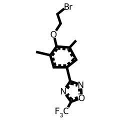 Cc1cc(-c2noc(C(F)(F)F)n2)cc(C)c1OCCBr